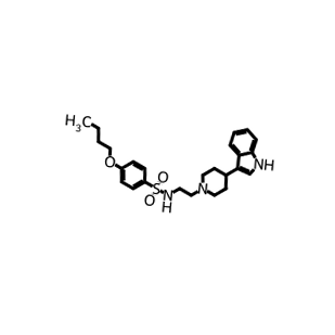 CCCCOc1ccc(S(=O)(=O)NCCN2CCC(c3c[nH]c4ccccc34)CC2)cc1